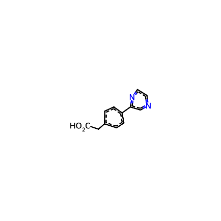 O=C(O)Cc1ccc(-c2cnccn2)cc1